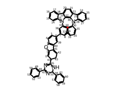 C1=c2oc3ccc(-c4cccc(-n5c6ccccc6c6ccc7c8ccccc8n(-c8ccccc8)c7c65)c4)cc3c2=CCC1C1=NC(c2ccccc2)=NC(c2ccccc2)N1